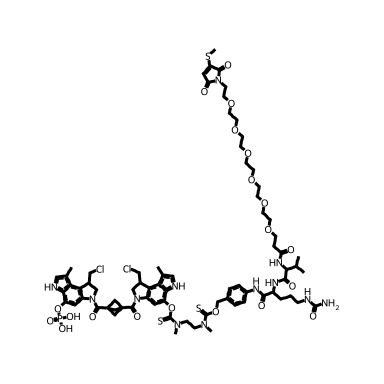 CSC1=CC(=O)N(CCOCCOCCOCCOCCOCCOCCC(=O)NC(C(=O)NC(CCCNC(N)=O)C(=O)Nc2ccc(COC(=S)N(C)CCN(C)C(=S)Oc3cc4c(c5c(C)c[nH]c35)C(CCl)CN4C(=O)C34CC(C(=O)N5CC(CCl)c6c5cc(OP(=O)(O)O)c5[nH]cc(C)c65)(C3)C4)cc2)C(C)C)C1=O